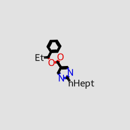 CCCCCCCc1ncc(C(=O)OC(CC)c2ccccc2)cn1